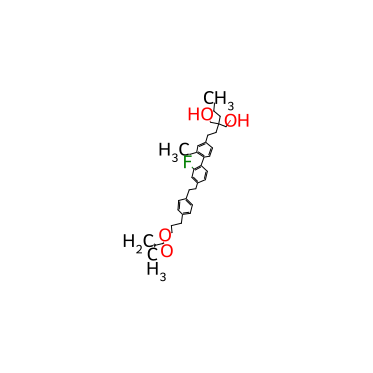 C=C(C)C(=O)OCCCc1ccc(CCc2ccc(-c3ccc(CCC(CO)(CO)CCCC)cc3CC)c(F)c2)cc1